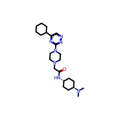 CN(C)[C@H]1CC[C@H](NC(=O)CN2CCN(c3nncc(C4CCCCC4)n3)CC2)CC1